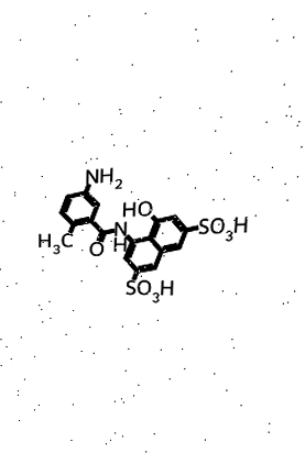 Cc1ccc(N)cc1C(=O)Nc1cc(S(=O)(=O)O)cc2cc(S(=O)(=O)O)cc(O)c12